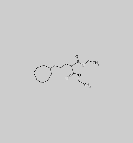 CCOC(=O)C(CCCC1CCCCCCC1)C(=O)OCC